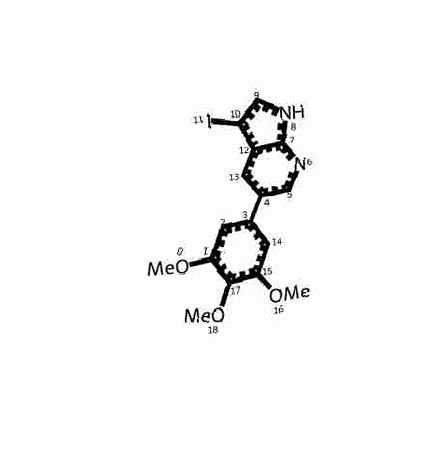 COc1cc(-c2cnc3[nH]cc(I)c3c2)cc(OC)c1OC